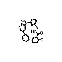 O=C(NCc1cccc(-c2c[nH]c3ncc(-c4ccccc4)cc23)c1)c1ccccc1Cl